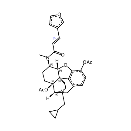 CC(=O)Oc1ccc2c3c1O[C@H]1[C@H](N(C)C(=O)/C=C/c4ccoc4)CC[C@@]4(OC(C)=O)[C@@H](C2)N(CC2CC2)CC[C@]314